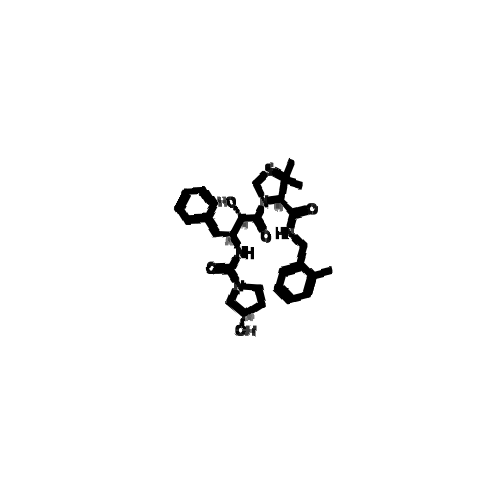 Cc1ccccc1CNC(=O)[C@H]1N(C(=O)[C@@H](O)[C@H](Cc2ccccc2)NC(=O)N2CC[C@H](O)C2)CSC1(C)C